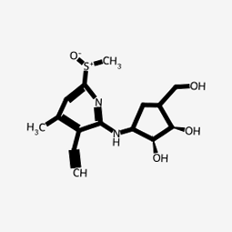 C#Cc1c(C)cc([S+](C)[O-])nc1NC1CC(CO)[C@@H](O)[C@H]1O